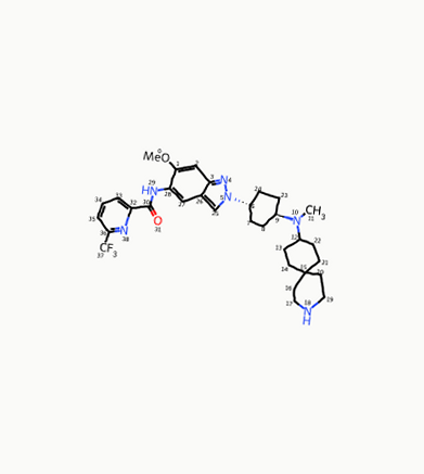 COc1cc2nn([C@H]3CC[C@H](N(C)C4CCC5(CCNCC5)CC4)CC3)cc2cc1NC(=O)c1cccc(C(F)(F)F)n1